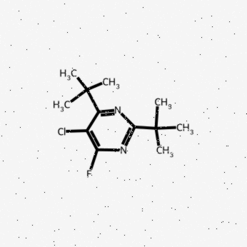 CC(C)(C)c1nc(F)c(Cl)c(C(C)(C)C)n1